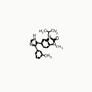 Cc1cccc(-c2nc[nH]c2-c2ccc3c(c2)n(C(C)C)c(=O)n3C)c1